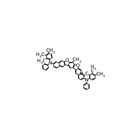 Cc1ccc(N(c2ccccc2)c2ccc3cc4c(cc3c2)oc2c(C)c3oc5cc6cc(N(c7ccccc7)c7ccc(C)c(C)c7C)ccc6cc5c3cc24)c(C)c1C